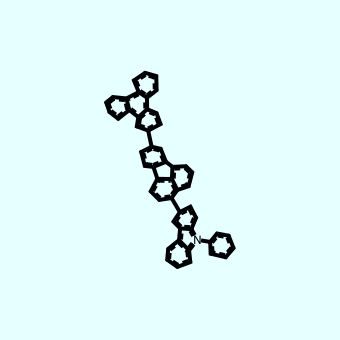 c1ccc(-n2c3ccccc3c3cc(-c4ccc5c6c(cccc46)-c4cc(-c6ccc7c8ccccc8c8ccccc8c7c6)ccc4-5)ccc32)cc1